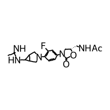 CC(=N)NC1C2CN(c3ccc(N4C[C@H](CNC(C)=O)OC4=O)cc3F)CC21